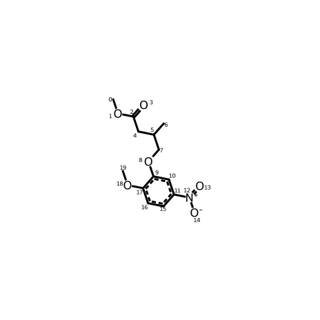 COC(=O)CC(C)COc1cc([N+](=O)[O-])ccc1OC